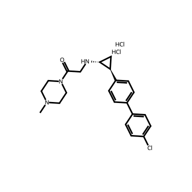 CN1CCN(C(=O)CN[C@@H]2C[C@H]2c2ccc(-c3ccc(Cl)cc3)cc2)CC1.Cl.Cl